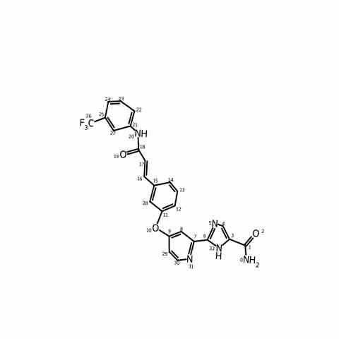 NC(=O)c1cnc(-c2cc(Oc3cccc(/C=C/C(=O)Nc4cccc(C(F)(F)F)c4)c3)ccn2)[nH]1